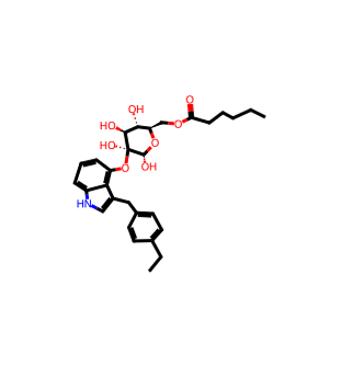 CCCCCC(=O)OC[C@H]1O[C@H](O)[C@@](O)(Oc2cccc3[nH]cc(Cc4ccc(CC)cc4)c23)[C@@H](O)[C@@H]1O